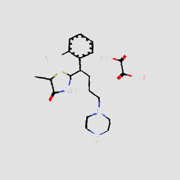 COc1ccccc1C(CCCN1CCNCC1)C1NC(=O)C(C)S1.O=C(O)C(=O)O